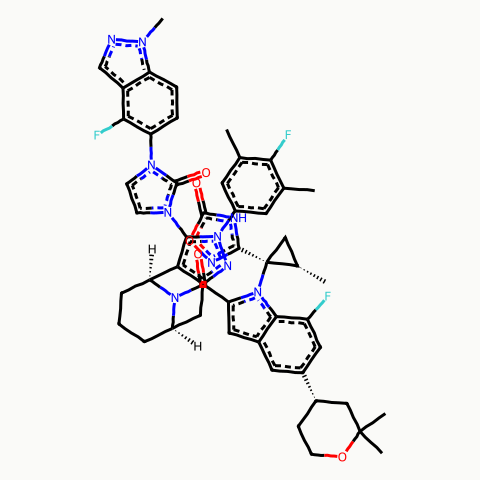 Cc1cc(-n2nc3c(c2-n2ccn(-c4ccc5c(cnn5C)c4F)c2=O)[C@@H]2CCC[C@H](C3)N2C(=O)c2cc3cc([C@H]4CCOC(C)(C)C4)cc(F)c3n2[C@@]2(c3noc(=O)[nH]3)C[C@@H]2C)cc(C)c1F